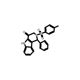 Cc1ccc(S(=O)(=O)N2CC(=O)c3[nH]c4ccccc4c3C2c2ccccc2)cc1